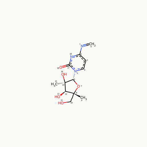 C=Nc1ccn([C@@H]2O[C@](C)(CO)[C@@H](O)[C@@]2(C)O)c(=O)n1